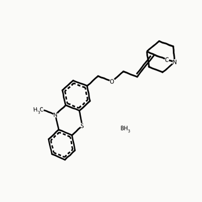 B.CN1c2ccccc2Sc2cc(COCC=C3CN4CCC3CC4)ccc21